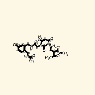 Cc1nn(C)c(Cl)c1CNn1c(=O)cc(C)n(CC(=O)NCc2cc(Cl)ccc2CNC(=O)O)c1=O